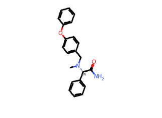 CN(Cc1ccc(Oc2ccccc2)cc1)[C@H](C(N)=O)c1ccccc1